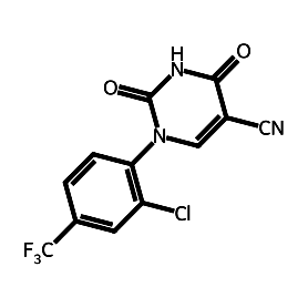 N#Cc1cn(-c2ccc(C(F)(F)F)cc2Cl)c(=O)[nH]c1=O